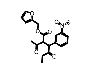 CCC(=O)C(c1cccc([N+](=O)[O-])c1)C(C(C)=O)C(=O)OCc1ccco1